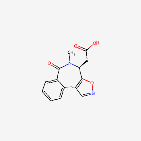 CN1C(=O)c2ccccc2-c2cnoc2[C@@H]1CC(=O)O